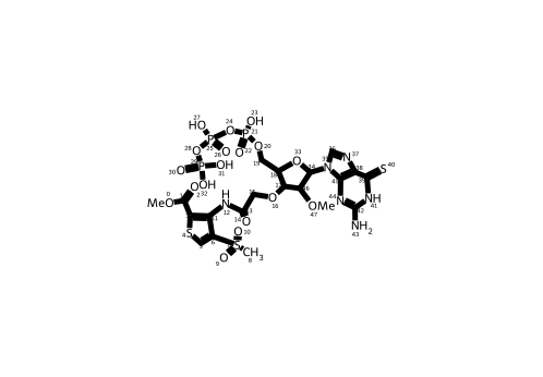 COC(=O)c1scc(S(C)(=O)=O)c1NC(=O)COC1C(COP(=O)(O)OP(=O)(O)OP(=O)(O)O)OC(n2cnc3c(=S)[nH]c(N)nc32)C1OC